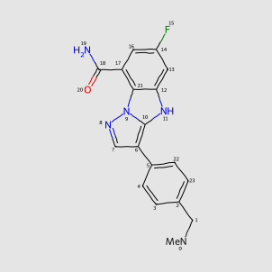 CNCc1ccc(-c2cnn3c2[nH]c2cc(F)cc(C(N)=O)c23)cc1